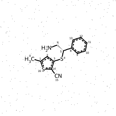 Cc1cc(S[C@H](CN)c2ccccc2)c(C#N)s1